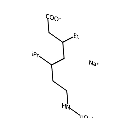 CCCCCCCCNCCC(CC(CC)CC(=O)[O-])C(C)C.[Na+]